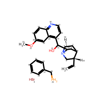 Br.C=C[C@@H]1CN2CCC1C[C@@H]2C(O)c1ccnc2ccc(OC)cc12.PCc1ccccc1